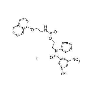 CCC[n+]1cc(C(=O)N(CCOC(=O)NCCOc2cccc3ccccc23)c2ccccc2)cc([N+](=O)[O-])c1.[I-]